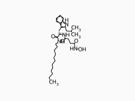 CCCCCCCCCCCCNC(=O)[C@H](Cc1c(CC(C)C)[nH]c2ccccc12)NC(=O)CCC(=O)NO